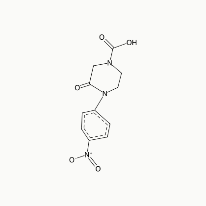 O=C(O)N1CCN(c2ccc([N+](=O)[O-])cc2)C(=O)C1